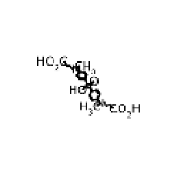 CN(CCCC(=O)O)c1ccc(C2=C(O)C(=C3C=CC(N(C)CCCC(=O)O)C=C3)C2=O)cc1